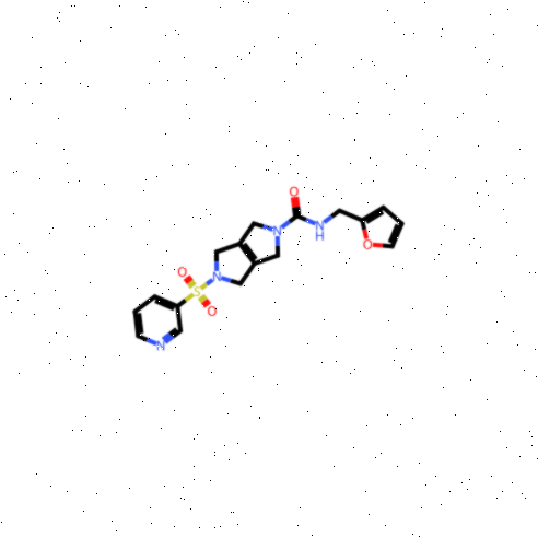 O=C(NCc1ccco1)N1CC2=C(C1)CN(S(=O)(=O)c1cccnc1)C2